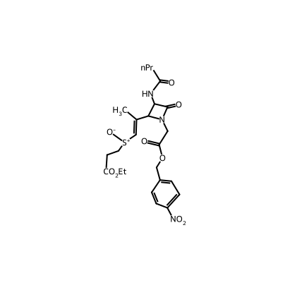 CCCC(=O)NC1C(=O)N(CC(=O)OCc2ccc([N+](=O)[O-])cc2)C1C(C)=C[S+]([O-])CCC(=O)OCC